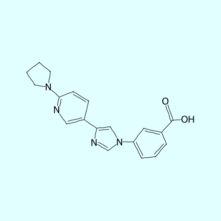 O=C(O)c1cccc(-n2cnc(-c3ccc(N4CCCC4)nc3)c2)c1